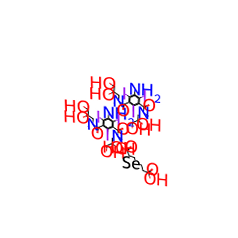 CN(CC(O)CO)C(=O)c1c(I)c(N)c(I)c(C(=O)N(C)CC(O)CO)c1I.CN(CC(O)CO)C(=O)c1c(I)c(N)c(I)c(C(=O)N(C)CC(O)CO)c1I.O=C(O)CC[Se]CCC(=O)O